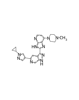 CN1CCN(c2ccnc3[nH]c(-c4n[nH]c5cnc(-c6cnn(C7CC7)c6)cc45)nc23)CC1